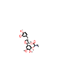 C/C=C(\C)C(=O)OC[C@H]1[C@@H](Cc2ccc(OC)c(OC)c2)CO[C@@H]1c1cc(OC)c(OC)c(OC)c1